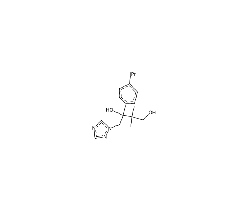 CC(C)c1ccc(C(O)(Cn2cncn2)C(C)(C)CO)cc1